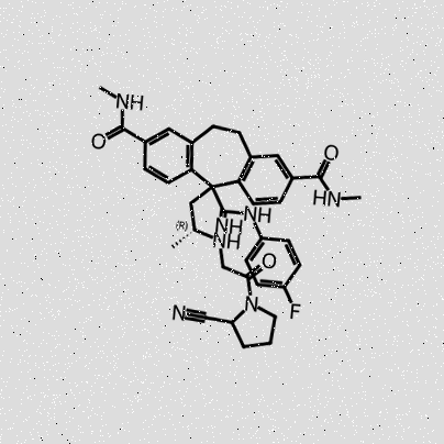 CNC(=O)c1ccc2c(c1)CCc1cc(C(=O)NC)ccc1C2(C[C@@H](C)NCC(=O)N1CCCC1C#N)C(=N)Nc1ccc(F)cc1